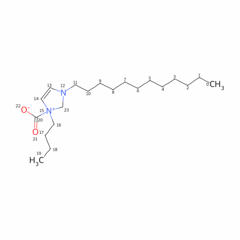 CCCCCCCCCCCCN1C=C[N+](CCCC)(C(=O)[O-])C1